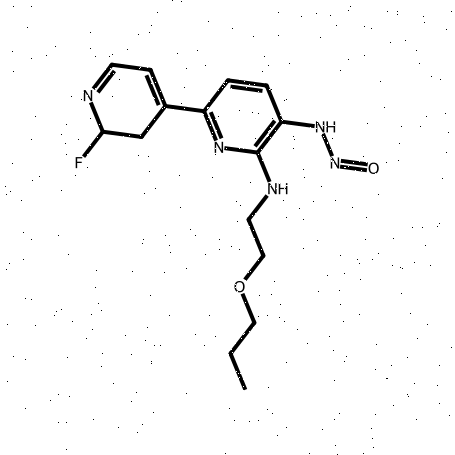 CCCOCCNc1nc(C2=CC=NC(F)C2)ccc1NN=O